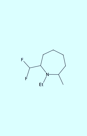 CCN1C(C)CCCCC1C(F)F